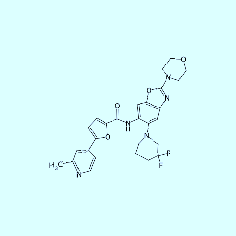 Cc1cc(-c2ccc(C(=O)Nc3cc4oc(N5CCOCC5)nc4cc3N3CCCC(F)(F)C3)o2)ccn1